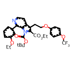 CCOC(=O)c1c(CCOc2ccc(OC(F)(F)F)cc2)c2ccnc(-c3cccc(OCC)c3)c2n1C(=O)OC(C)(C)C